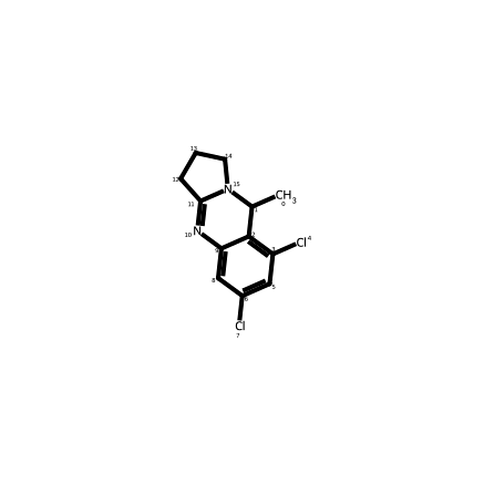 CC1c2c(Cl)cc(Cl)cc2N=C2CCCN21